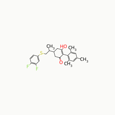 Cc1cc(C)c(C2=C(O)CC(C(C)CSc3ccc(F)c(F)c3)CC2=O)c(C)c1